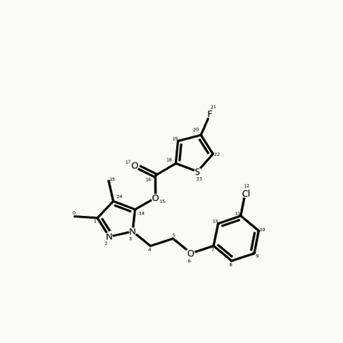 Cc1nn(CCOc2cccc(Cl)c2)c(OC(=O)c2cc(F)cs2)c1C